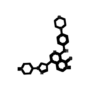 O=c1[nH]ccc2c(C3C=NN(C4CCNCC4)C3)cnc(Nc3ccc(N4CCOCC4)cc3)c12